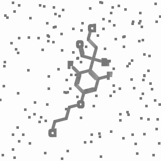 O=CC(Br)(CCCl)c1c(F)cc(OCCCCl)cc1F